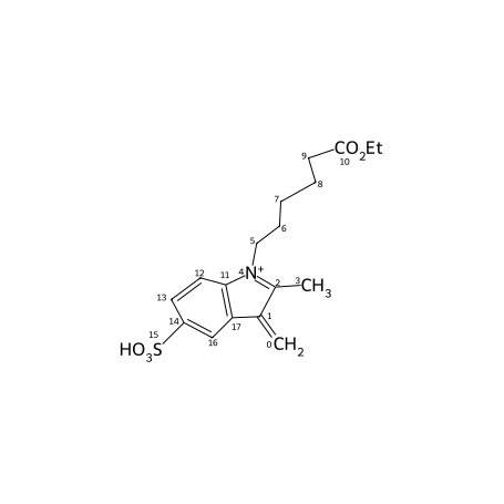 C=C1C(C)=[N+](CCCCCC(=O)OCC)c2ccc(S(=O)(=O)O)cc21